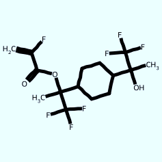 C=C(F)C(=O)OC(C)(C1CCC(C(C)(O)C(F)(F)F)CC1)C(F)(F)F